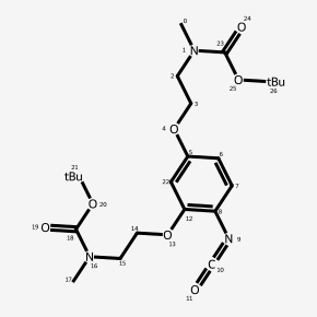 CN(CCOc1ccc(N=C=O)c(OCCN(C)C(=O)OC(C)(C)C)c1)C(=O)OC(C)(C)C